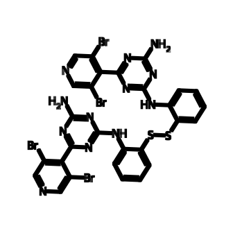 Nc1nc(Nc2ccccc2SSc2ccccc2Nc2nc(N)nc(-c3c(Br)cncc3Br)n2)nc(-c2c(Br)cncc2Br)n1